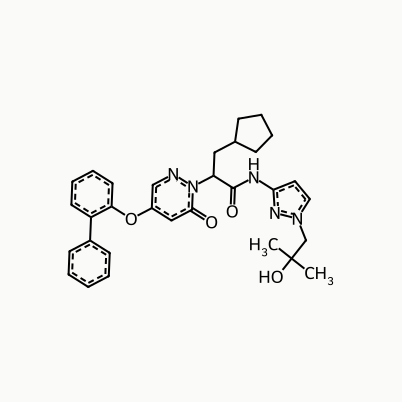 CC(C)(O)Cn1ccc(NC(=O)C(CC2CCCC2)n2ncc(Oc3ccccc3-c3ccccc3)cc2=O)n1